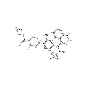 C=CC(=O)N(c1cc(C#N)c(N2CCN(C(=O)CCOC)C(C)C2)nc1C1CC1)c1ccnc2ccccc12